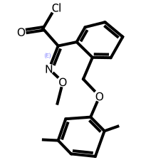 CO/N=C(/C(=O)Cl)c1ccccc1COc1cc(C)ccc1C